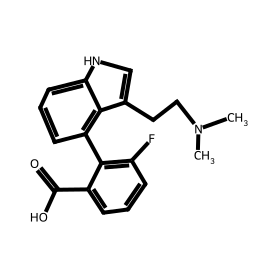 CN(C)CCc1c[nH]c2cccc(-c3c(F)cccc3C(=O)O)c12